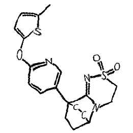 Cc1ccc(Oc2ccc(C34CCC(CC3)N3CCS(=O)(=O)N=C34)cn2)s1